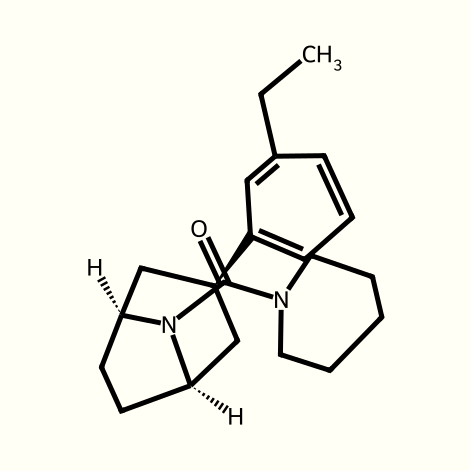 CCc1cccc([C@H]2C[C@H]3CC[C@@H](C2)N3C(=O)N2CCCCC2)c1